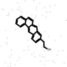 OCCc1ccc2cc3c(ccc4ccccc43)cc2c1